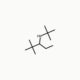 CCC(NC(C)(C)C)C(C)(C)C